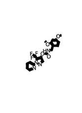 COc1ccc(CNC(=O)Oc2cnn(-c3ccccn3)c2C(F)(F)F)c(OC)c1